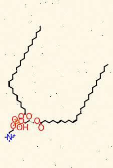 CCCCCCCCCCCCCCCC/C=C\CC/C=C/CCCC(=O)OC[C@H](COP(=O)(O)OCC[N+](C)(C)C)OC(=O)CCC/C=C/CC/C=C\CCCCCCCCCCCCCCCC